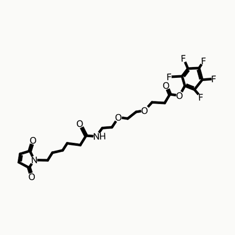 O=C(CCCCCN1C(=O)C=CC1=O)NCCOCCOCCC(=O)Oc1c(F)c(F)c(F)c(F)c1F